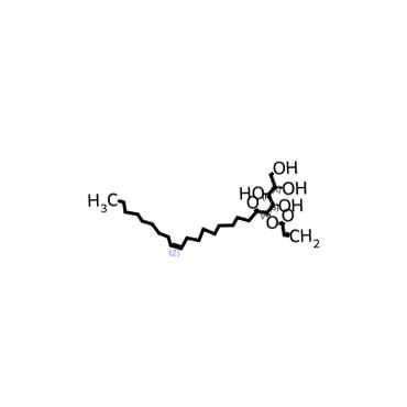 C=CC(=O)O[C@@H](C(=O)CCCCCCCC/C=C\CCCCCCCC)[C@@H](O)[C@H](O)[C@H](O)CO